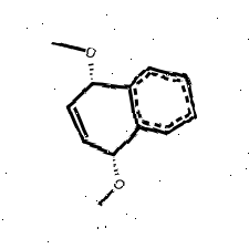 CO[C@H]1C=C[C@@H](OC)c2ccccc21